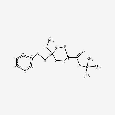 C[N+](C)(C)CC(=O)N1CCC(CN)(CCc2ccccc2)CC1